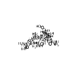 CC(=O)NCC(=O)N[C@@H](Cc1ccc(O)cc1)C(=O)N[C@@H](CS)C(=O)N[C@@H](CCCNC(=N)N)C(=O)N[C@@H](Cc1ccccc1)C(=O)N[C@@H](Cc1ccccc1)C(=O)N[C@@H](CCCNC(=N)N)C(=O)N[C@@H](CO)C(=O)N[C@@H](C)C(=O)N[C@@H](CS)C(=O)N[C@@H](Cc1ccc(O)cc1)C(=O)NCC(N)=O